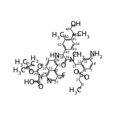 CCCS(=O)(=O)c1ccc(N)cc1CN(C)C(=O)C(Nc1ccc2c(N(C(=O)O)C(=O)OC(C)(C)C)ncc(F)c2c1)c1ccc([C@@H](C)CO)c(C)c1